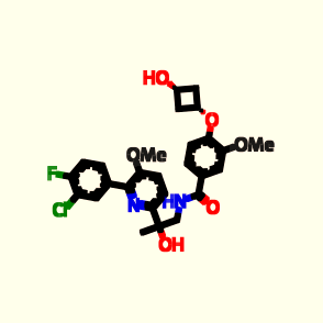 COc1cc(C(=O)NCC(C)(O)c2ccc(OC)c(-c3ccc(F)c(Cl)c3)n2)ccc1O[C@H]1C[C@H](O)C1